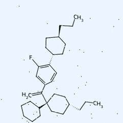 C=C(c1ccc([C@H]2CC[C@H](CCC)CC2)c(F)c1)[C@]1(C2CCCCC2)CC[C@H](CCC)CC1